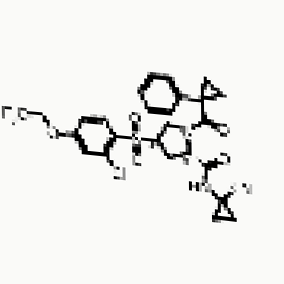 N#CC1(NC(=O)[C@@H]2C[C@@H](S(=O)(=O)c3ccc(OCC(F)(F)F)cc3Cl)CN2C(=O)C2(c3ccccc3)CC2)CC1